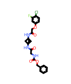 O=C(CNC(=O)OCc1ccccc1)NC12CC(NC(=O)COc3ccc(Cl)c(F)c3)(C1)C2